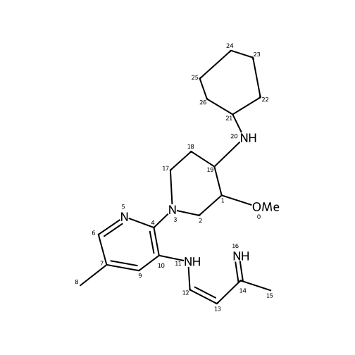 COC1CN(c2ncc(C)cc2N/C=C\C(C)=N)CCC1NC1CCCCC1